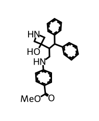 COC(=O)c1ccc(NCC(C(c2ccccc2)c2ccccc2)C2(O)CNC2)cc1